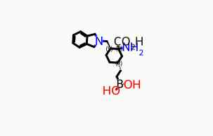 N[C@]1(C(=O)O)C[C@H](CCB(O)O)CC[C@H]1CN1Cc2ccccc2C1